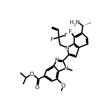 C=CC(F)(F)Cn1c(-c2nc3cc(C(=O)OC(C)C)cc(OC)c3n2C)cc2ccc([C@@H](C)N)c(F)c21